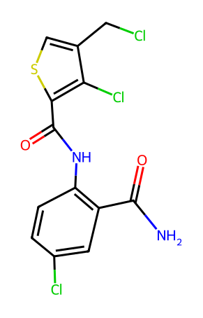 NC(=O)c1cc(Cl)ccc1NC(=O)c1scc(CCl)c1Cl